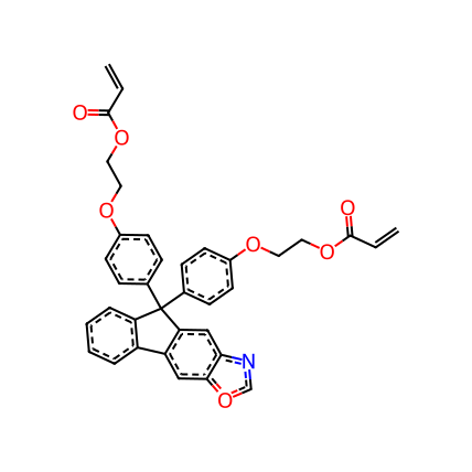 C=CC(=O)OCCOc1ccc(C2(c3ccc(OCCOC(=O)C=C)cc3)c3ccccc3-c3cc4ocnc4cc32)cc1